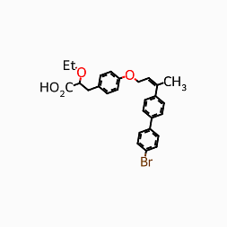 CCOC(Cc1ccc(OCC=C(C)c2ccc(-c3ccc(Br)cc3)cc2)cc1)C(=O)O